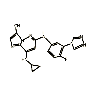 N#Cc1cnc2c(NC3CC3)cc(Nc3ccc(F)c(-n4cnnc4)c3)nn12